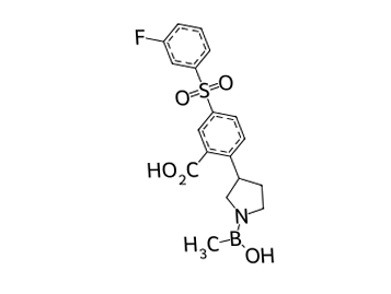 CB(O)N1CCC(c2ccc(S(=O)(=O)c3cccc(F)c3)cc2C(=O)O)C1